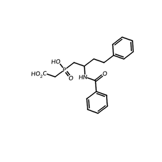 O=C(O)CP(=O)(O)CC(CCc1ccccc1)NC(=O)c1ccccc1